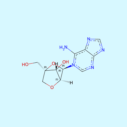 Nc1c2ncnc-2ncn1[C@@H]1O[C@]2(CO)CO[C@H]1[C@H]2O